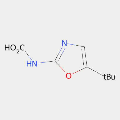 CC(C)(C)c1cnc(NC(=O)O)o1